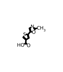 Cc1ncc(-c2cc(C(=O)O)cs2)o1